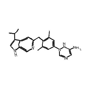 Cc1cc(N2C=NC=C(N)N2)cc(C)c1Cc1cc2c(C(C)C)c[nH]c2cn1